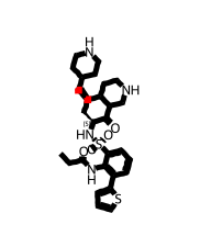 CCC(=O)Nc1c(-c2cccs2)cccc1S(=O)(=O)N[C@@H](CCCC1CCNCC1)C(=O)C1CNCCC1CC